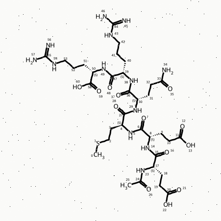 CSCC[C@H](NC(=O)[C@H](CCC(=O)O)NC(=O)[C@H](CCC(=O)O)NC(C)=O)C(=O)N[C@@H](CCC(N)=O)C(=O)N[C@@H](CCCNC(=N)N)C(=O)N[C@@H](CCCNC(=N)N)C(=O)O